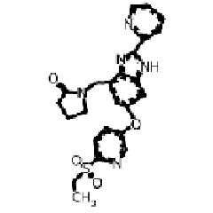 CCS(=O)(=O)c1ccc(Oc2cc(CN3CCCC3=O)c3nc(-c4ccccn4)[nH]c3c2)cn1